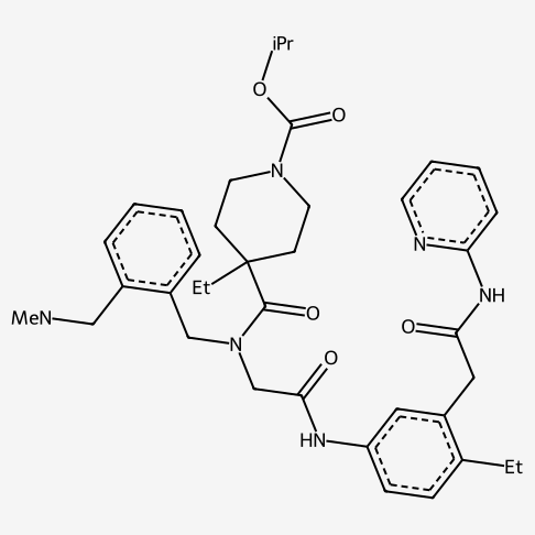 CCc1ccc(NC(=O)CN(Cc2ccccc2CNC)C(=O)C2(CC)CCN(C(=O)OC(C)C)CC2)cc1CC(=O)Nc1ccccn1